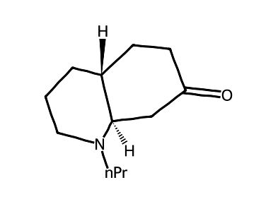 CCCN1CCC[C@@H]2CCC(=O)C[C@H]21